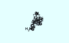 Cc1noc(C)c1-c1ccc2c(c1)nc([C@@H]1CCCC(=O)N1c1ccc(F)c(F)c1)n2-c1nc(-c2ccc(C(N)=O)c(F)c2)cs1